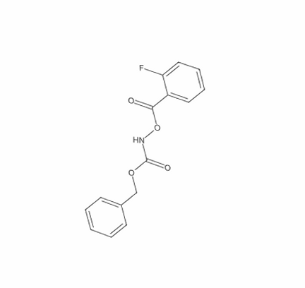 O=C(NOC(=O)c1ccccc1F)OCc1ccccc1